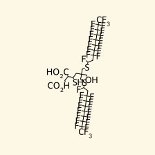 O=C(O)CC(C(=O)O)C(S)CC(CO)(CSC(F)CC(F)(F)C(F)(F)C(F)(F)C(F)(F)C(F)(F)C(F)(F)C(F)(F)C(F)(F)F)CSC(F)CC(F)(F)C(F)(F)C(F)(F)C(F)(F)C(F)(F)C(F)(F)C(F)(F)C(F)(F)F